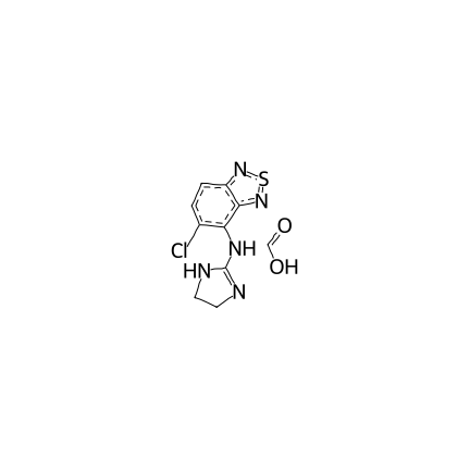 Clc1ccc2nsnc2c1NC1=NCCN1.O=CO